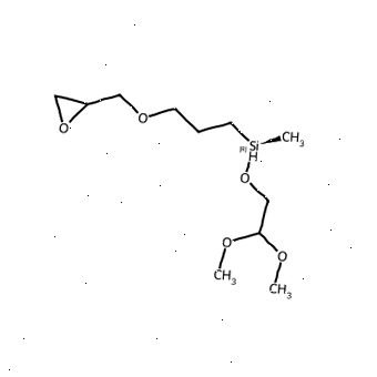 COC(CO[Si@H](C)CCCOCC1CO1)OC